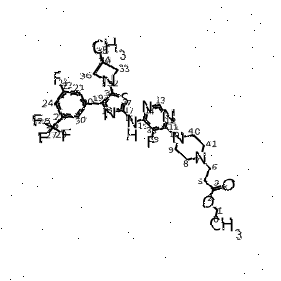 CCOC(=O)CCN1CCN(c2ncnc(Nc3nc(-c4cc(F)cc(C(F)(F)F)c4)c(N4CC(C)C4)s3)c2F)CC1